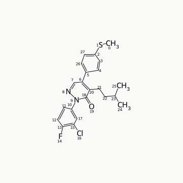 CSc1ccc(-c2cnn(-c3ccc(F)c(Cl)c3)c(=O)c2CCC(C)C)cc1